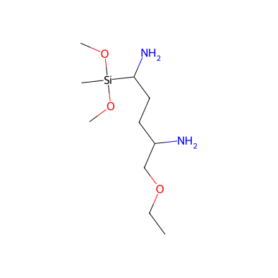 CCOCC(N)CCC(N)[Si](C)(OC)OC